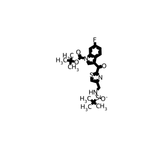 CC(C)(C)OC(=O)n1cc(C(=O)c2nc(CN[S@@+]([O-])C(C)(C)C)cs2)c2ccc(F)cc21